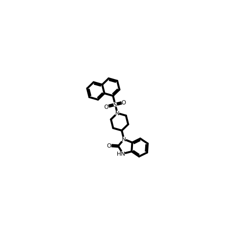 O=c1[nH]c2ccccc2n1C1CCN(S(=O)(=O)c2cccc3ccccc23)CC1